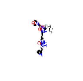 CC(C)N(OCCN1CCOCC1)C(=O)NCCCCCNC(=O)NCCc1cccnc1